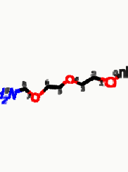 CCCCOCCOCCOCN